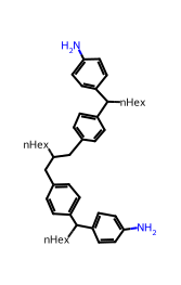 CCCCCCC(Cc1ccc(C(CCCCCC)c2ccc(N)cc2)cc1)Cc1ccc(C(CCCCCC)c2ccc(N)cc2)cc1